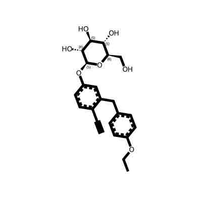 C#Cc1ccc(O[C@@H]2O[C@H](CO)[C@@H](O)[C@H](O)[C@H]2O)cc1Cc1ccc(OCC)cc1